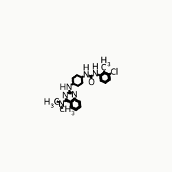 Cc1c(Cl)cccc1NC(=O)NC1CCC(Nc2nc(N(C)C)c3ccccc3n2)CC1